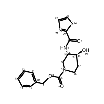 O=C(N[C@H]1CN(C(=O)OCc2ccccc2)CC[C@@H]1O)c1nccs1